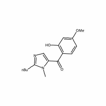 CCCCc1ncc(C(=O)c2ccc(OC)cc2O)n1C